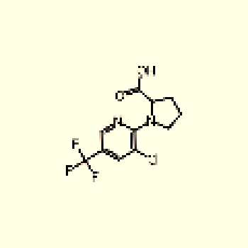 O=C(O)C1CCCN1c1ncc(C(F)(F)F)cc1Cl